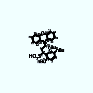 CCCCC1C=CN(CCCC)C(C(CCN2c3ccccc3Oc3ccccc32)S(=O)(=O)O)N1CCCC